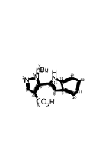 CCCCn1ncc(C(=O)O)c1-c1cc2ccccc2[nH]1